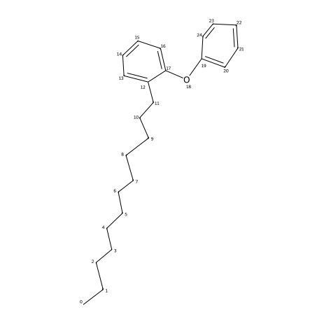 CCCCCCCCCCCCc1ccccc1Oc1ccccc1